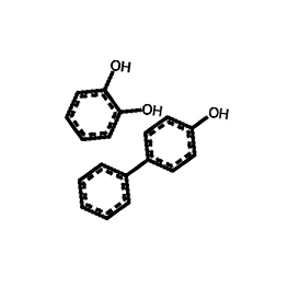 Oc1ccc(-c2ccccc2)cc1.Oc1ccccc1O